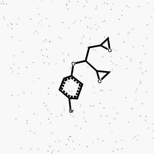 Brc1ccc(OC(CC2CO2)C2CO2)cc1